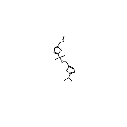 COCc1ccc(C(C)(C)OCc2ccc(C(C)C)s2)s1